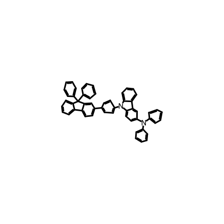 c1ccc(N(c2ccccc2)c2ccc3c(c2)c2ccccc2n3-c2ccc(-c3ccc4c(c3)C(c3ccccc3)(c3ccccc3)c3ccccc3-4)cc2)cc1